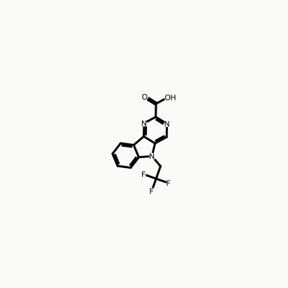 O=C(O)c1ncc2c(n1)c1ccccc1n2CC(F)(F)F